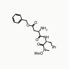 CON(C)C(=O)[C@H](CC(C)C)NC(=O)[C@H](N)CC(=O)OCc1ccccc1